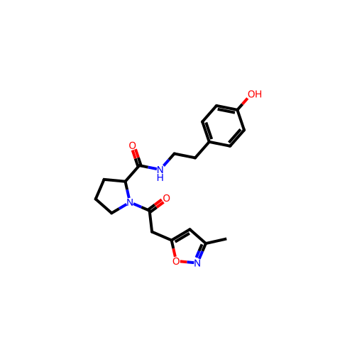 Cc1cc(CC(=O)N2CCCC2C(=O)NCCc2ccc(O)cc2)on1